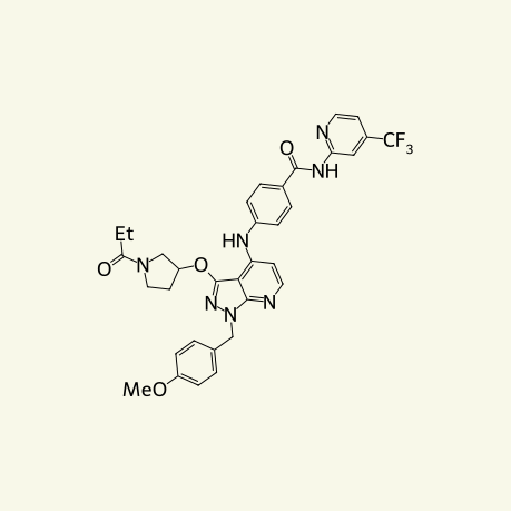 CCC(=O)N1CCC(Oc2nn(Cc3ccc(OC)cc3)c3nccc(Nc4ccc(C(=O)Nc5cc(C(F)(F)F)ccn5)cc4)c23)C1